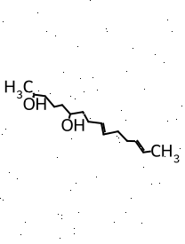 CC=CCCC=CCCC(O)CCCC(C)O